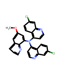 COc1cc(N(c2ccnc3cc(Cl)ccc23)c2ccnc3cc(Cl)ccc23)c2ncccc2c1